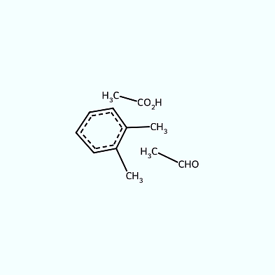 CC(=O)O.CC=O.Cc1ccccc1C